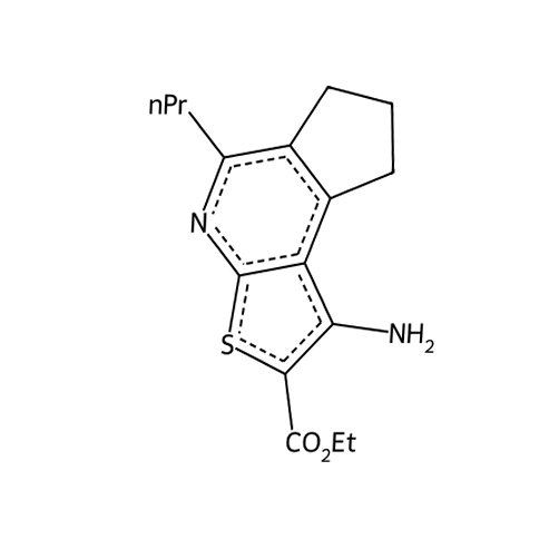 CCCc1nc2sc(C(=O)OCC)c(N)c2c2c1CCC2